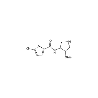 COC1CNCC1NC(=O)c1ccc(Cl)s1